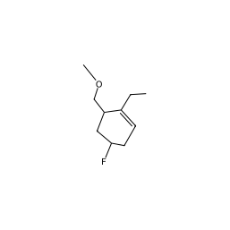 CCC1=CCC(F)CC1COC